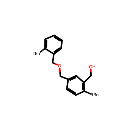 CC(C)(C)c1ccc(COCc2ccccc2C(C)(C)C)cc1CO